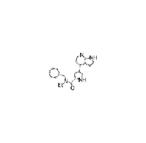 CCN(Cc1ccccc1)C(=O)c1cc(-c2ccnc3[nH]ccc23)c[nH]1